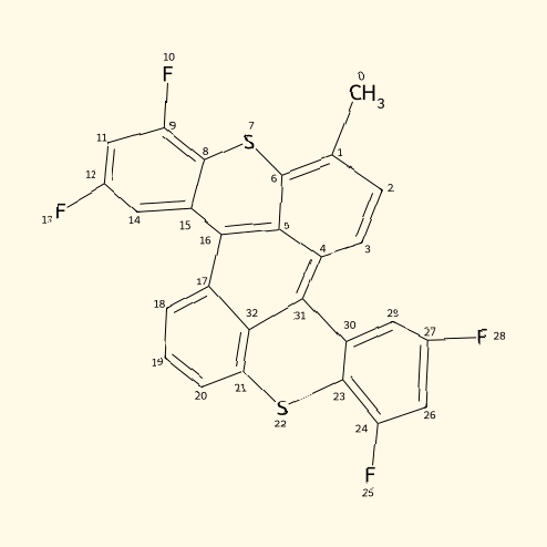 Cc1ccc2c3c1sc1c(F)cc(F)cc1c3c1cccc3sc4c(F)cc(F)cc4c2c31